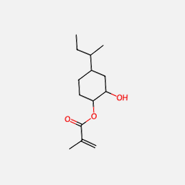 C=C(C)C(=O)OC1CCC(C(C)CC)CC1O